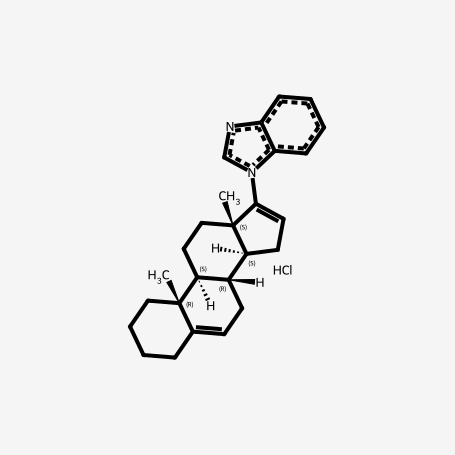 C[C@]12CCCCC1=CC[C@@H]1[C@@H]2CC[C@]2(C)C(n3cnc4ccccc43)=CC[C@@H]12.Cl